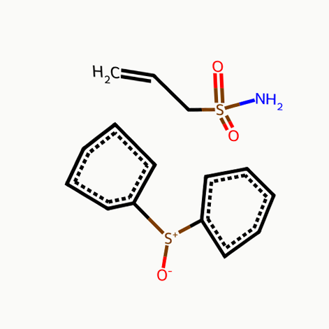 C=CCS(N)(=O)=O.[O-][S+](c1ccccc1)c1ccccc1